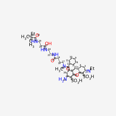 CC/N=c1\ccc2c(-c3ccccc3C(=O)N(C)CCCC(=O)NCCNC(O)CCNC(=O)C(C)(C)CC)c3ccc(N)c(S(=O)(=O)O)c3oc-2c1S(=O)(=O)O